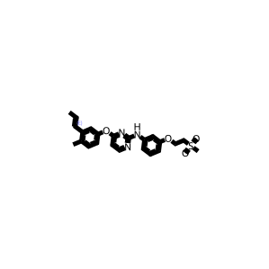 C/C=C/c1cc(Oc2ccnc(Nc3cccc(OCCS(C)(=O)=O)c3)n2)ccc1C